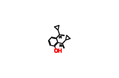 C[C@@H](c1cccc(O)c1[C@H](C)C1CC1)C1CC1